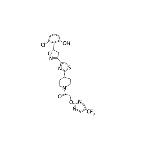 O=C(COc1ncc(C(F)(F)F)cn1)N1CCC(c2nc(C3=NOC(c4c(O)cccc4Cl)C3)cs2)CC1